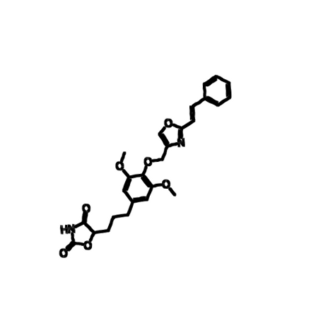 COc1cc(CCCC2OC(=O)NC2=O)cc(OC)c1OCc1coc(/C=C/c2ccccc2)n1